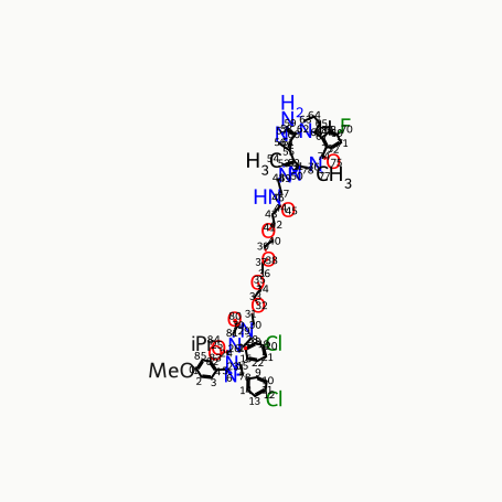 COc1ccc(C2=N[C@@H](c3ccc(Cl)cc3)[C@@H](c3ccc(Cl)cc3)N2C(=O)N2CCN(CCOCCOCCOCCOCCC(=O)NCCn3nc4c(c3C)-c3cnc(N)c(c3)N3CCC[C@@H]3c3cc(F)ccc3C(=O)N(C)C4)C(=O)C2)c(OC(C)C)c1